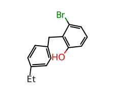 CCc1ccc(Cc2c(O)cccc2Br)cc1